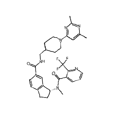 Cc1cc(N2CCC(CNC(=O)c3ccc4c(c3)[C@H](N(C)C(=O)c3cccnc3C(F)(F)F)CC4)CC2)nc(C)n1